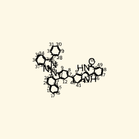 O=c1[nH]c2c3cc(-c4ccc5c(c4)c4c6ccccc6ccc4n5-c4nc(-c5ccccc5)c5ccccc5n4)ccc3[nH]c2c2ccccc12